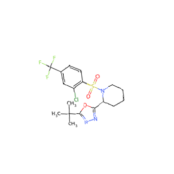 CC(C)(C)c1nnc(C2CCCCN2S(=O)(=O)c2ccc(C(F)(F)F)cc2Cl)o1